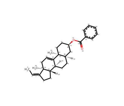 C/C=C1/CC[C@H]2[C@@H]3CC[C@@H]4C[C@H](OC(=O)c5ccccc5)CC[C@]4(C)C3=CC[C@]12C